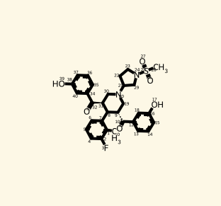 Cc1c(F)cccc1C1[C@@H](C(=O)c2cccc(O)c2)CN(C2CCN(S(C)(=O)=O)C2)C[C@@H]1C(=O)c1cccc(O)c1